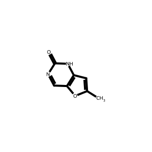 Cc1cc2[nH]c(=O)ncc2o1